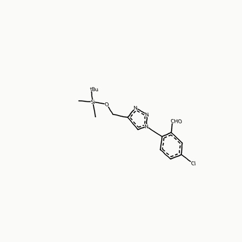 CC(C)(C)[Si](C)(C)OCc1cn(-c2ccc(Cl)cc2C=O)nn1